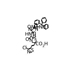 CON=C(C(=O)NC1C(=O)N2CC(C=Cc3scnc3Cl)(C(=O)O)CS[C@H]12)c1csc(NC(c2ccccc2)(c2ccccc2)c2ccccc2)n1